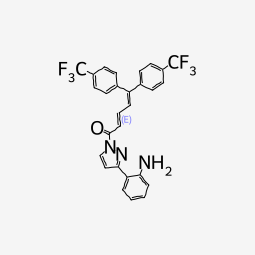 Nc1ccccc1-c1ccn(C(=O)/C=C/C=C(c2ccc(C(F)(F)F)cc2)c2ccc(C(F)(F)F)cc2)n1